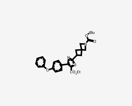 CCOC(=O)c1sc(C2CC3(C2)CN(C(=O)OC(C)(C)C)C3)nc1-c1ccc(Oc2ccccc2)cc1